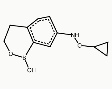 OB1OCCc2ccc(NOC3CC3)cc21